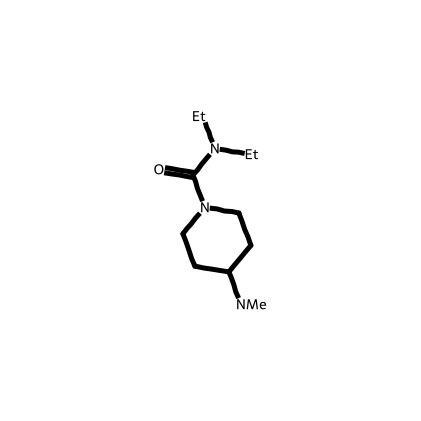 CCN(CC)C(=O)N1CCC(NC)CC1